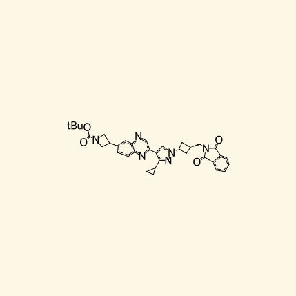 CC(C)(C)OC(=O)N1CC(c2ccc3nc(-c4cn([C@H]5C[C@H](CN6C(=O)c7ccccc7C6=O)C5)nc4C4CC4)cnc3c2)C1